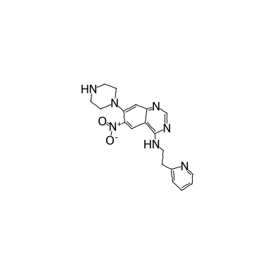 O=[N+]([O-])c1cc2c(NCCc3ccccn3)ncnc2cc1N1CCNCC1